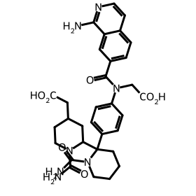 NC(=O)N1CCC(CC(=O)O)CC1C1(c2ccc(N(CC(=O)O)C(=O)c3ccc4ccnc(N)c4c3)cc2)CCCCN1C(N)=O